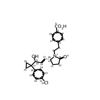 O=C(O)c1ccc(CCN2C(=O)CC[C@@H]2C=C[C@H](O)C2(c3ccc(Cl)cc3)CC2)cc1